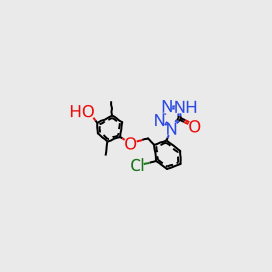 Cc1cc(OCc2c(Cl)cccc2-n2nn[nH]c2=O)c(C)cc1O